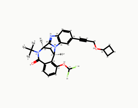 [2H]C([2H])([2H])N1C(=O)c2cccc(OC(F)F)c2[C@H]2C[C@@H]1c1nc3ccc(C#CCOC4CCC4)cc3n12